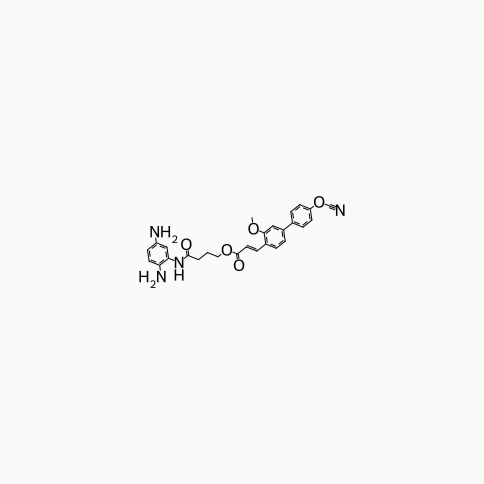 COc1cc(-c2ccc(OC#N)cc2)ccc1/C=C/C(=O)OCCCC(=O)Nc1cc(N)ccc1N